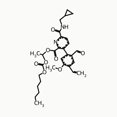 C=Cc1cc(C=O)c(-c2ccc(C(=O)NCC3CC3)nc2C(=O)OC(C)OC(=O)OCCCCCC)cc1OC